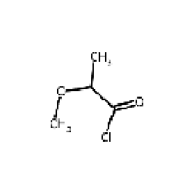 COC(C)C(=O)Cl